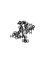 COCCN(CCOC12CC3(C)CC(C)(CC(Cn4ncc(-c5ccc(N6CCc7c(OC)ccc(C(=O)Nc8nc9ccccc9s8)c7C6)nc5C(=O)O)c4C)(C3)C1)C2)C(=O)OCc1ccc(O[C@@H]2O[C@H](C(=O)O)[C@@H](O)[C@H](O)[C@H]2O)cc1OCCOCCNC(=O)CCN1C(=O)C=CC1=O